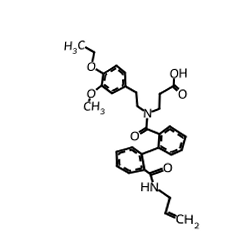 C=CCNC(=O)c1ccccc1-c1ccccc1C(=O)N(CCC(=O)O)CCc1ccc(OCC)c(OC)c1